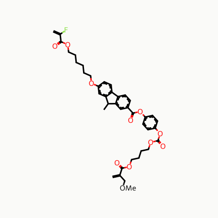 C=C(F)C(=O)OCCCCCCOc1ccc2c(c1)C(C)c1cc(C(=O)Oc3ccc(OC(=O)OCCCCOC(=O)C(=C)COC)cc3)ccc1-2